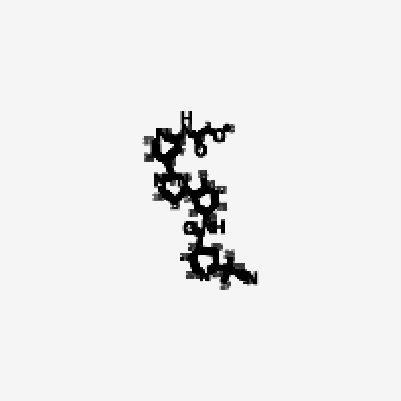 COCC(=O)Nc1cc(-c2nccc(-c3cc(NC(=O)c4ccnc(C(C)(C)C#N)c4)ccc3C)n2)ccn1